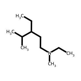 CCC(CCN(C)CC)C(C)C